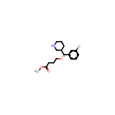 COC(=O)CCCO[C@@H](c1cccc(Cl)c1)C1CCCNC1